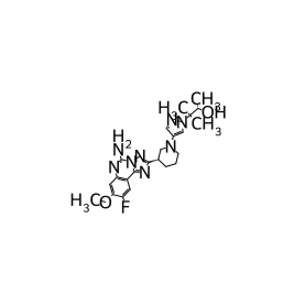 COc1cc2nc(N)n3nc([C@@H]4CCCN(c5cnn(C(C)(C)[C@H](C)O)c5)C4)nc3c2cc1F